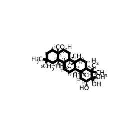 CC1(C)CC[C@]2(C(=O)O)CC[C@]3(C)C(=CC[C@@H]4[C@@]5(C)C[C@@H](O)C(O)(O)C(C)(C)C5CC[C@]43C)[C@@H]2C1